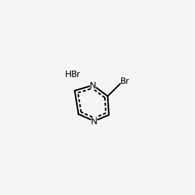 Br.Brc1cnccn1